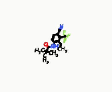 CCc1c(NC(=O)C(C)(C)C)ccc(C#N)c1C(F)(F)F